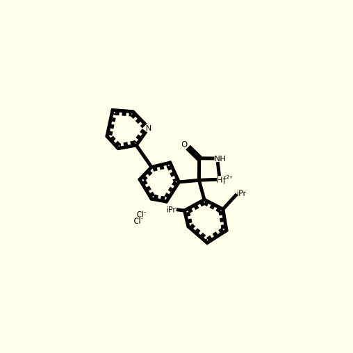 CC(C)c1cccc(C(C)C)c1[C]1(c2cccc(-c3ccccn3)c2)[Hf+2][NH]C1=O.[Cl-].[Cl-]